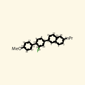 CCCc1ccc2cc(-c3ccc(-c4ccc(OC)cc4)c(F)c3)ccc2c1